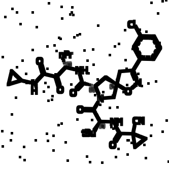 CCC[C@H](NC(=O)[C@@H]1C[C@]2(CC(c3cccc(Cl)c3)=NO2)CN1C(=O)[C@@H](NC(=O)C1(C#N)CC1)C(C)(C)C)C(=O)C(=O)NC1CC1